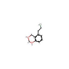 ClCCc1cccc2c1COCO2